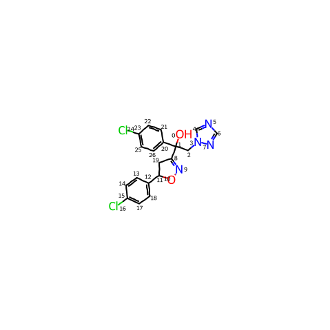 OC(Cn1cncn1)(C1=NOC(c2ccc(Cl)cc2)C1)c1ccc(Cl)cc1